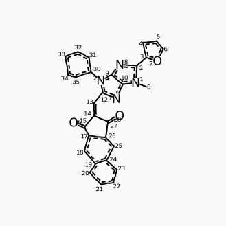 Cn1c(-c2ccco2)nc2c1nc(C=C1C(=O)c3cc4ccccc4cc3C1=O)n2-c1ccccc1